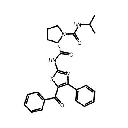 CC(C)NC(=O)N1CCC[C@H]1C(=O)Nc1nc(-c2ccccc2)c(C(=O)c2ccccc2)s1